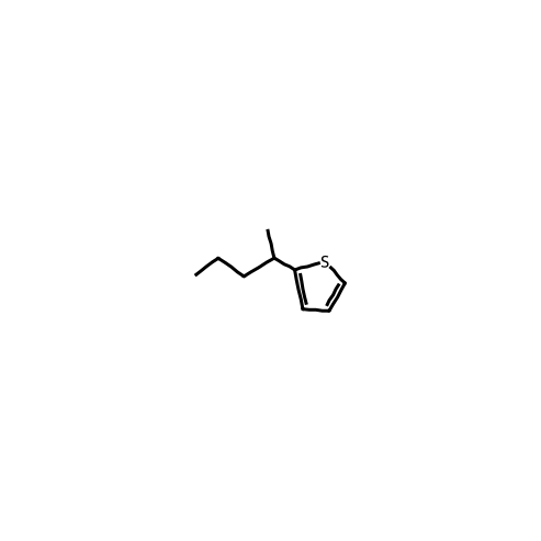 CCCC(C)c1cccs1